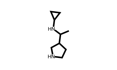 CC(NC1CC1)C1CCNC1